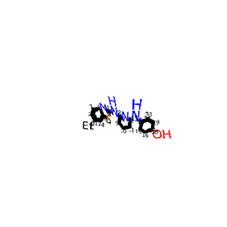 CCc1ccc2nc(Nc3cccc(NC4CCC(O)CC4)n3)sc2c1